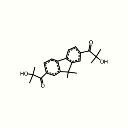 CC(C)(O)C(=O)c1ccc2c(c1)C(C)(C)c1cc(C(=O)C(C)(C)O)ccc1-2